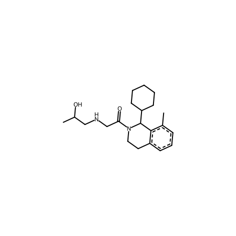 Cc1cccc2c1C(C1CCCCC1)N(C(=O)CNCC(C)O)CC2